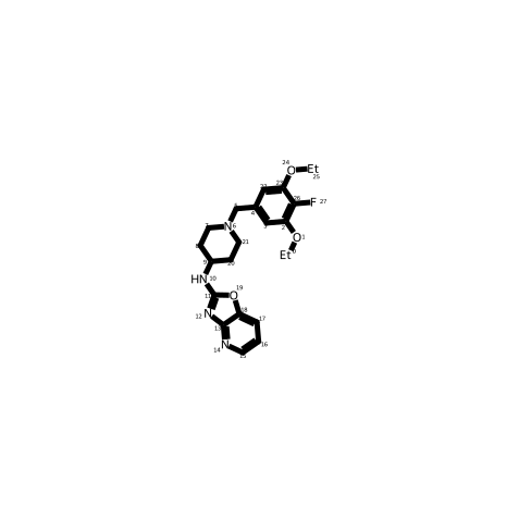 CCOc1cc(CN2CCC(Nc3nc4ncccc4o3)CC2)cc(OCC)c1F